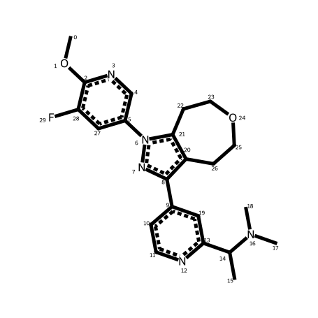 COc1ncc(-n2nc(-c3ccnc(C(C)N(C)C)c3)c3c2CCOCC3)cc1F